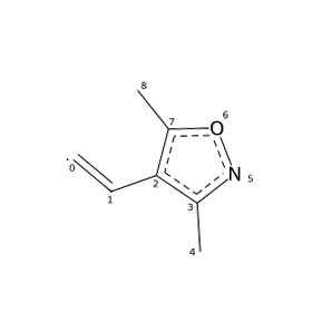 [CH]=Cc1c(C)noc1C